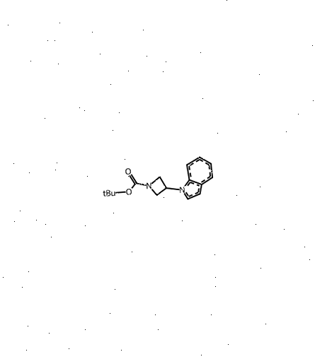 CC(C)(C)OC(=O)N1CC(n2ccc3ccccc32)C1